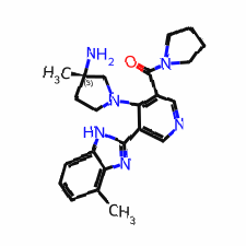 Cc1cccc2[nH]c(-c3cncc(C(=O)N4CCCC4)c3N3CC[C@](C)(N)C3)nc12